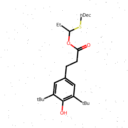 CCCCCCCCCCSC(CC)OC(=O)CCc1cc(C(C)(C)C)c(O)c(C(C)(C)C)c1